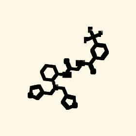 O=C(CNC(=O)c1cccc(C(F)(F)F)c1)N[C@H]1CCCC[C@H]1N(Cc1ccoc1)Cc1ccoc1